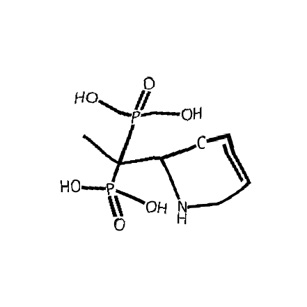 CC(C1CC=CCN1)(P(=O)(O)O)P(=O)(O)O